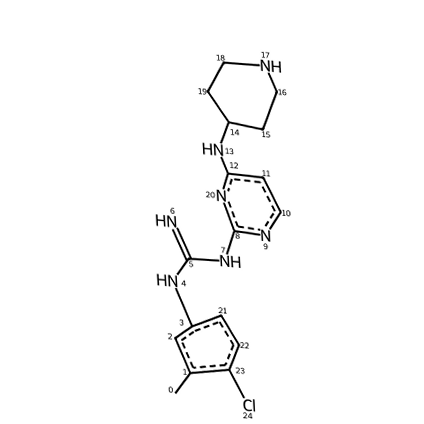 Cc1cc(NC(=N)Nc2nccc(NC3CCNCC3)n2)ccc1Cl